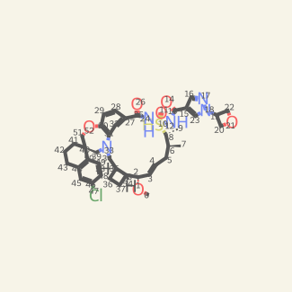 CO[C@H]1/C=C/C[C@H](C)[C@@H](C)[SH](=O)(NC(=O)c2cnn(C3COC3)c2)NC(=O)c2ccc3c(c2)N(C[C@@H]2CC[C@H]21)C[C@@]1(CCCc2cc(Cl)ccc21)CO3